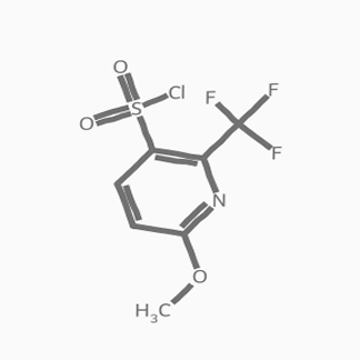 COc1ccc(S(=O)(=O)Cl)c(C(F)(F)F)n1